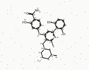 CCc1cccc(CC)c1-c1cc(Oc2ccc(C(N)=O)c(O)c2)c(CN2C[C@@H](C)C[C@H](C)C2)c(C)n1